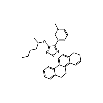 C1=Cc2c(ccc3c2CCc2ccccc2-3)CC1.CCCCC(C)Oc1nsnc1C1=CC=CN(C)C1